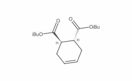 CC(C)COC(=O)[C@@H]1CC=CC[C@H]1C(=O)OCC(C)C